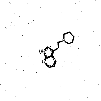 c1cnc2[nH]cc(CCN3CCCCC3)c2c1